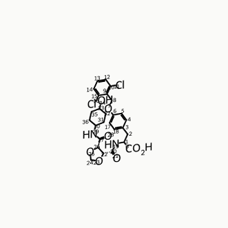 O=C(O)C(Cc1ccc(OCc2c(Cl)cccc2Cl)cc1)NC(=O)[C@@H]1OCO[C@H]1C(=O)NC1CCC(O)CC1